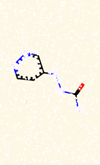 Cl.NC(=O)NNc1ccnnc1